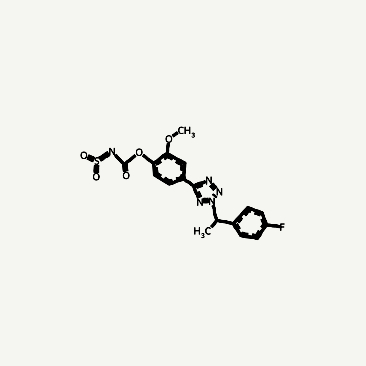 COc1cc(-c2nnn(C(C)c3ccc(F)cc3)n2)ccc1OC(=O)N=S(=O)=O